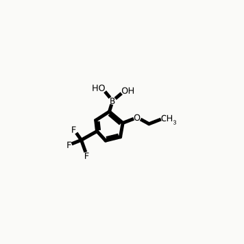 CCOc1ccc(C(F)(F)F)cc1B(O)O